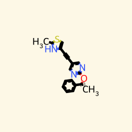 CC1NC(C#Cc2cnc(O[C@@H](C)c3ccccc3)nc2)=CS1